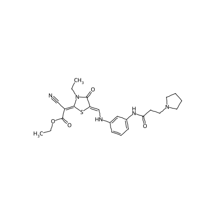 CCOC(=O)C(C#N)=c1sc(=CNc2cccc(NC(=O)CCN3CCCC3)c2)c(=O)n1CC